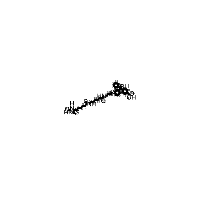 O=C(CCCCC1SCC2NC(=O)NC21)NCCCCCC(=O)NCCCOc1cccc(C(O)(c2ccccc2)c2ccc(C(=O)O)cc2)c1